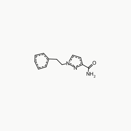 NC(=O)c1ccn(CCc2ccccc2)n1